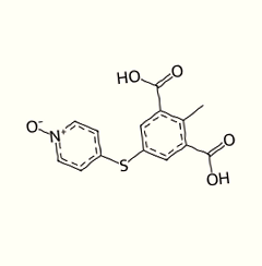 Cc1c(C(=O)O)cc(Sc2cc[n+]([O-])cc2)cc1C(=O)O